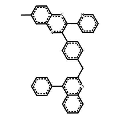 Cc1ccc2nc(-c3ccccn3)c(-c3ccc(Cc4cc(-c5ccccc5)c5ccccc5n4)cc3)nc2c1